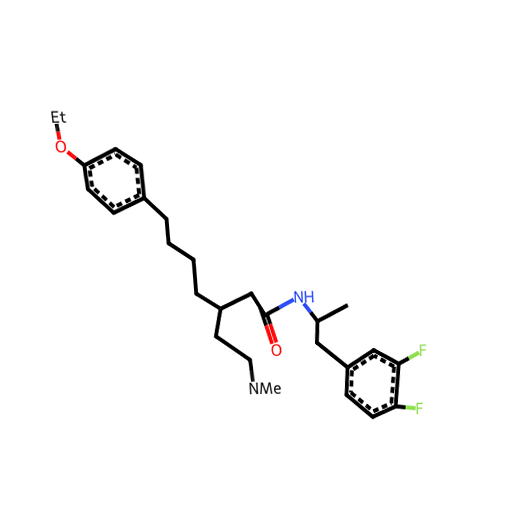 CCOc1ccc(CCCCC(CCNC)CC(=O)NC(C)Cc2ccc(F)c(F)c2)cc1